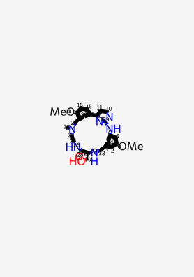 COc1cc2cc(c1)Nc1nccc(n1)-c1ccc(OC)c(c1)CN(C)CCNC(=O)[C@H](CO)NC2